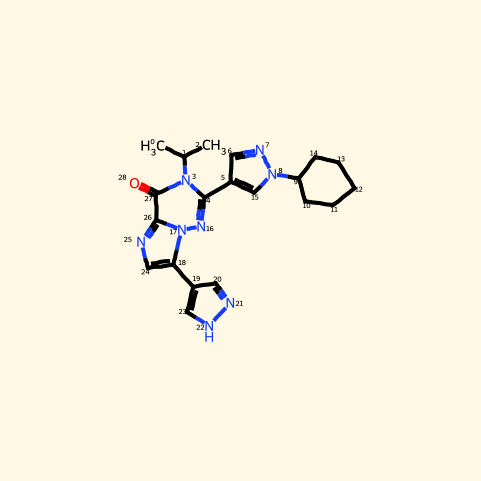 CC(C)n1c(-c2cnn(C3CCCCC3)c2)nn2c(-c3cn[nH]c3)cnc2c1=O